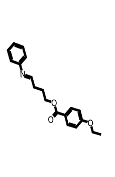 CCOc1ccc(C(=O)OCCCC=Nc2ccccc2)cc1